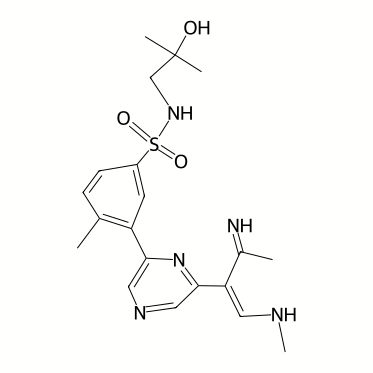 CN/C=C(\C(C)=N)c1cncc(-c2cc(S(=O)(=O)NCC(C)(C)O)ccc2C)n1